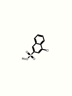 COS(=O)(=O)c1cc(Cl)c2ccccc2c1